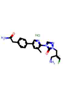 Cc1cc(-c2ccc(CC(N)=O)cc2)cnc1-n1cnn(C/C(=C/F)CN)c1=O.Cl